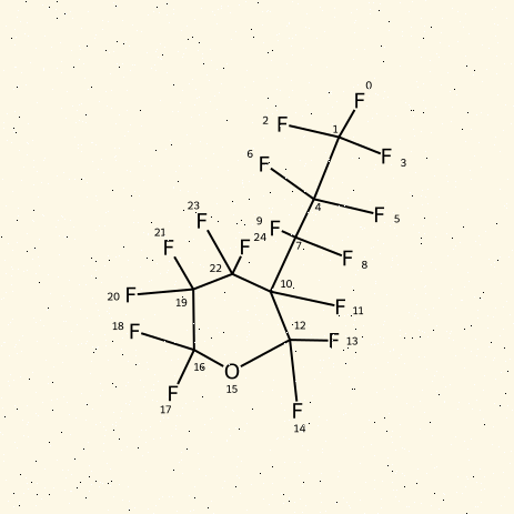 FC(F)(F)C(F)(F)C(F)(F)C1(F)C(F)(F)OC(F)(F)C(F)(F)C1(F)F